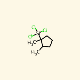 CC1CCCC1(C)[Si](Cl)(Cl)Cl